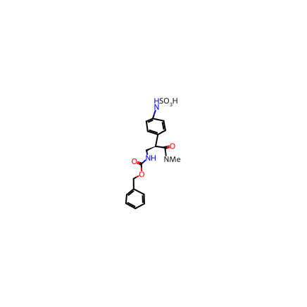 CNC(=O)[C@@H](CNC(=O)OCc1ccccc1)c1ccc(NS(=O)(=O)O)cc1